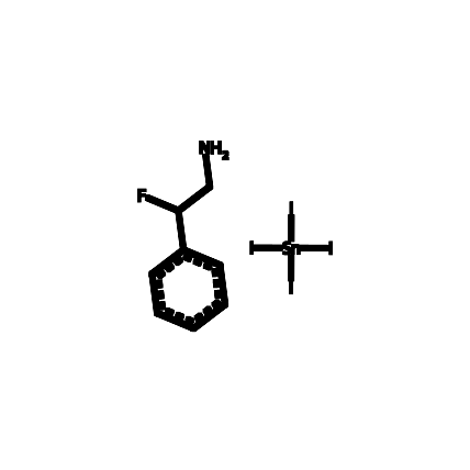 NCC(F)c1ccccc1.[I][Sn]([I])([I])[I]